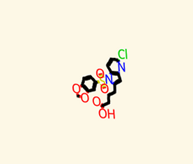 O=C(O)CCCc1cc2nc(Cl)ccc2n1S(=O)(=O)c1ccc2c(c1)OCO2